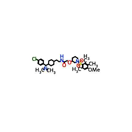 COc1cc(C)c(S(=O)(=O)N2CCCC(OCC(=O)NCCC3CCC(C(c4ccc(Cl)cc4)N(C)C)CC3)C2)c(C)c1C